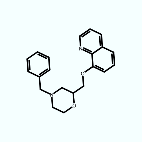 c1ccc(CN2CCOC(COc3cccc4cccnc34)C2)cc1